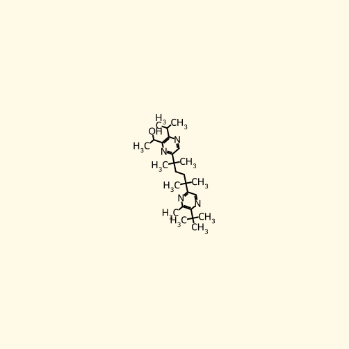 Cc1nc(C(C)(C)CCC(C)(C)c2cnc(C(C)C)c(C(C)O)n2)cnc1C(C)(C)C